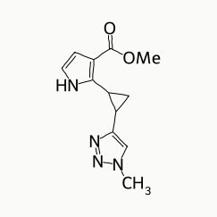 COC(=O)c1cc[nH]c1C1CC1c1cn(C)nn1